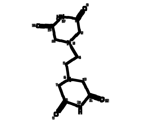 O=C1CN(CCN2CC(=O)NC(=O)C2)CC(=O)N1